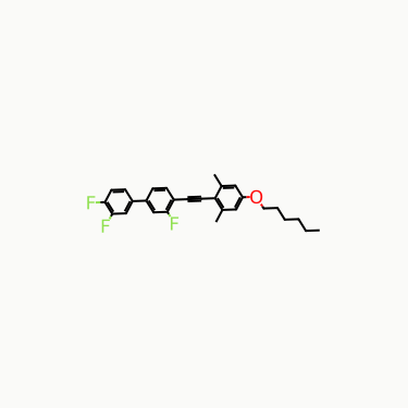 CCCCCCOc1cc(C)c(C#Cc2ccc(-c3ccc(F)c(F)c3)cc2F)c(C)c1